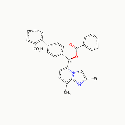 CCc1cn2c([C@H](OC(=O)c3ccccc3)c3ccc(-c4ccccc4C(=O)O)cc3)ccc(C)c2n1